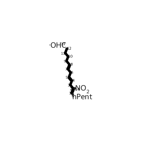 CCCCC/C=C(/C/C=C/C/C=C/CCCC[C]=O)[N+](=O)[O-]